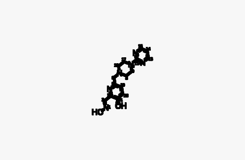 O/N=C/c1nc(CN2CCN(c3ncccn3)CC2)ccc1O